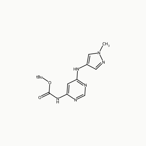 Cn1cc(Nc2cc(NC(=O)OC(C)(C)C)ncn2)cn1